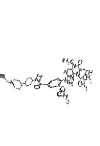 CC[C@@H]1C(=O)N(C)c2cnc(Nc3ccc(C(=O)NC4CCC(N5CCN(CC6CC6)CC5)CC4)cc3OC)nc2N1C(C)C